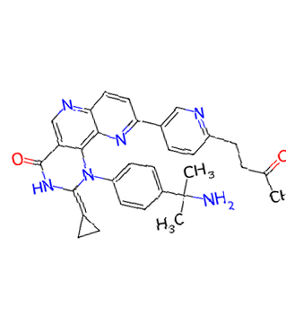 CC(=O)CCc1ccc(-c2ccc3ncc4c(c3n2)N(c2ccc(C(C)(C)N)cc2)C(=C2CC2)NC4=O)cn1